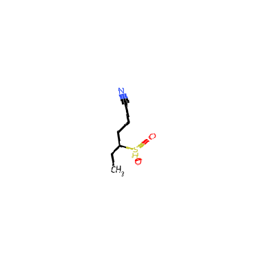 CCC(CCC#N)[SH](=O)=O